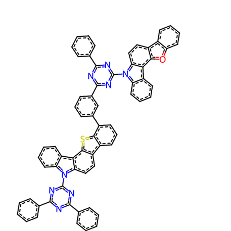 c1ccc(-c2nc(-c3cccc(-c4cccc5c4sc4c5ccc5c4c4ccccc4n5-c4nc(-c5ccccc5)nc(-c5ccccc5)n4)c3)nc(-n3c4ccccc4c4c5oc6ccccc6c5ccc43)n2)cc1